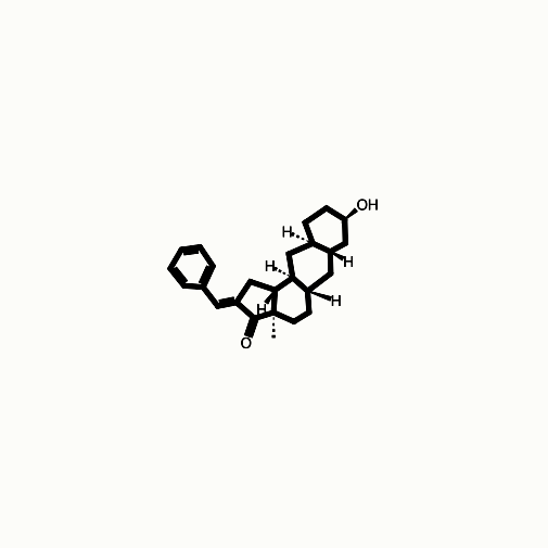 C[C@@]12CC[C@H]3C[C@H]4C[C@H](O)CC[C@@H]4C[C@@H]3[C@H]1CC(=Cc1ccccc1)C2=O